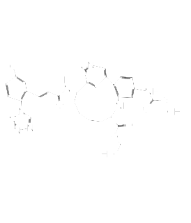 CCOC(=O)[C@H]1CCCC[C@H](NC(=O)/C=C/c2cc(Cl)ccc2-n2cnnn2)c2cc(cnn2)-c2ccc(NC(=O)OC)cc2N1